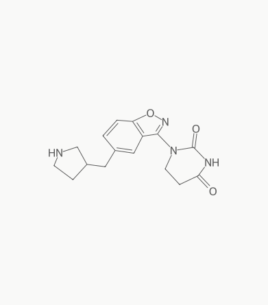 O=C1CCN(c2noc3ccc(CC4CCNC4)cc23)C(=O)N1